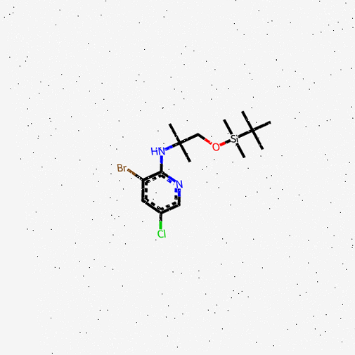 CC(C)(CO[Si](C)(C)C(C)(C)C)Nc1ncc(Cl)cc1Br